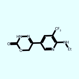 CCNc1ncc(C2=NNC(=O)OC2)cc1C(F)(F)F